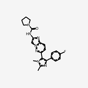 Cc1nc(-c2ccc(F)cc2)c(-c2ccc3nc(NC(=O)N4CCCC4)cn3n2)n1C